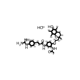 CC(=O)Nc1cc(NC(=O)C=Cc2ccc(NC(=N)N)cc2)ccc1OCCC1(C)CCc2c(C)c(O)c(C)c(C)c2O1.Cl